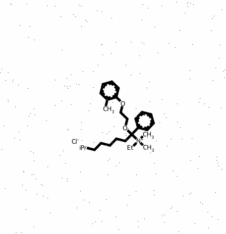 CC[N+](C)(C)C(CCCCCC(C)C)(OCCOc1ccccc1C)c1ccccc1.[Cl-]